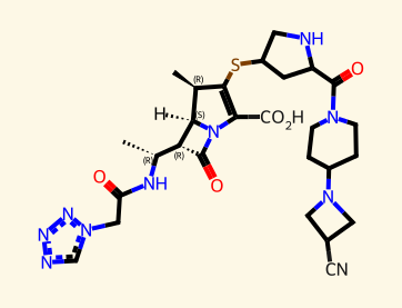 C[C@@H](NC(=O)Cn1cnnn1)[C@H]1C(=O)N2C(C(=O)O)=C(SC3CNC(C(=O)N4CCC(N5CC(C#N)C5)CC4)C3)[C@H](C)[C@H]12